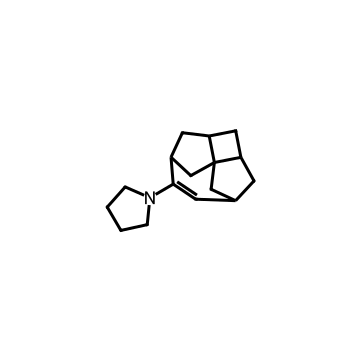 C1=C(N2CCCC2)C2CC3CC4CC1CC43C2